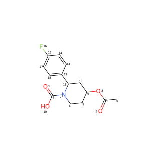 CC(=O)OC1CCN(C(=O)O)C(c2ccc(F)cc2)C1